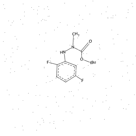 CN(Nc1cc(F)ccc1F)C(=O)OC(C)(C)C